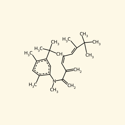 C=C(/C=C\C=C(/C)C(C)(C)C)C(=C)N(C)c1cc(C(C)(C)C)c(C)cc1C